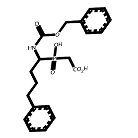 O=C(O)CP(=O)(O)C(CCCc1ccccc1)NC(=O)OCc1ccccc1